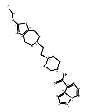 O=C(N[C@H]1CC[C@H](CCN2CCc3nc(OCC(F)(F)F)sc3CC2)OC1)c1cccn2nccc12